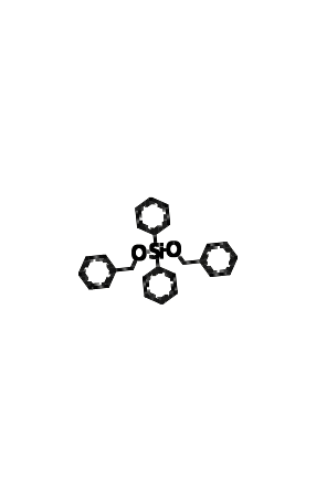 c1ccc(CO[Si](OCc2ccccc2)(c2ccccc2)c2ccccc2)cc1